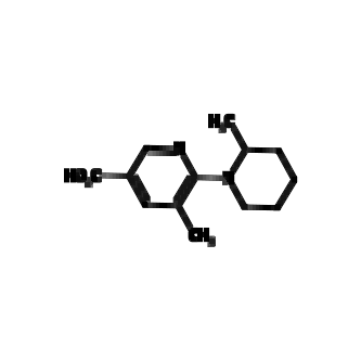 Cc1cc(C(=O)O)cnc1N1CCCCC1C